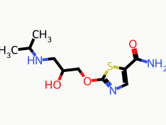 CC(C)NCC(O)COc1ncc(C(N)=O)s1